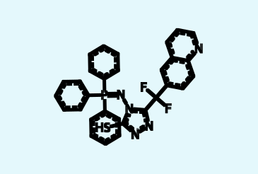 FC(F)(c1ccc2ncccc2c1)c1nnc(S)n1N=P(c1ccccc1)(c1ccccc1)c1ccccc1